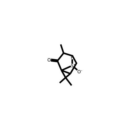 CC1CCC2C(C)(C)C2([S+]([O-])F)C1=O